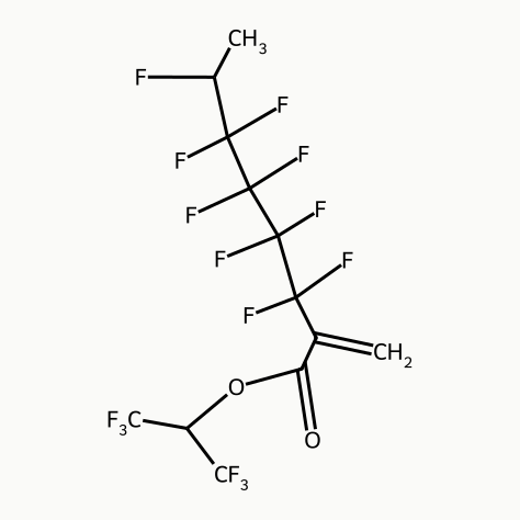 C=C(C(=O)OC(C(F)(F)F)C(F)(F)F)C(F)(F)C(F)(F)C(F)(F)C(F)(F)C(C)F